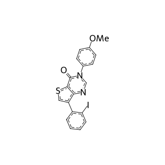 COc1ccc(-n2cnc3c(-c4ccccc4I)csc3c2=O)cc1